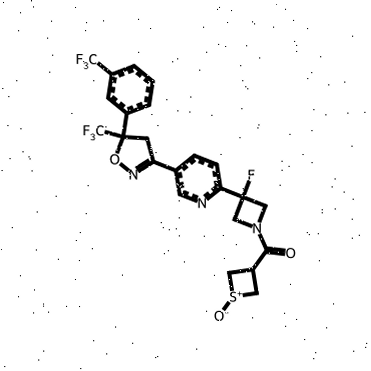 O=C(C1C[S+]([O-])C1)N1CC(F)(c2ccc(C3=NOC(c4cccc(C(F)(F)F)c4)(C(F)(F)F)C3)cn2)C1